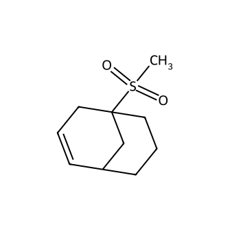 CS(=O)(=O)C12CC=CC(CCC1)C2